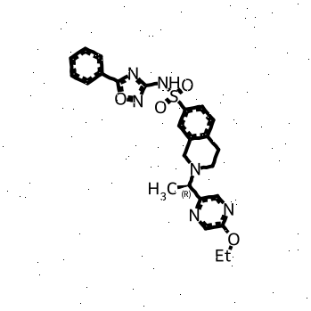 CCOc1cnc([C@@H](C)N2CCc3ccc(S(=O)(=O)Nc4noc(-c5ccccc5)n4)cc3C2)cn1